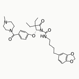 CCC1(CC)C(=O)N(C(=O)NCCCCc2ccc3c(c2)OCO3)[C@@H]1Oc1ccc(C(=O)N2CCN(C)CC2)cc1